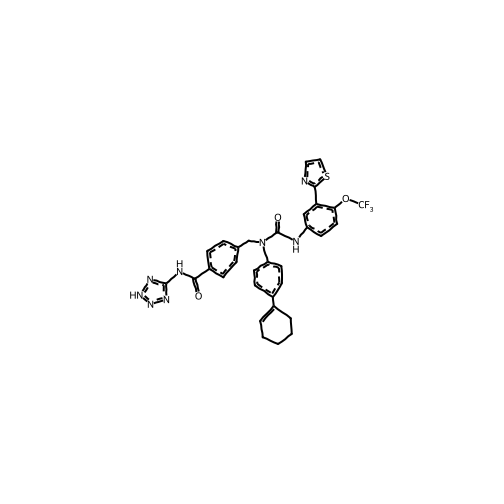 O=C(Nc1nn[nH]n1)c1ccc(CN(C(=O)Nc2ccc(OC(F)(F)F)c(-c3nccs3)c2)c2ccc(C3=CCCCC3)cc2)cc1